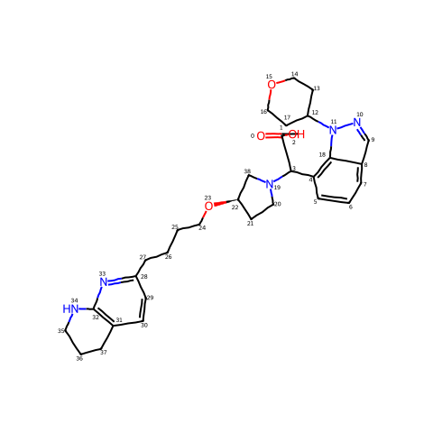 O=C(O)C(c1cccc2cnn(C3CCOCC3)c12)N1CC[C@@H](OCCCCc2ccc3c(n2)NCCC3)C1